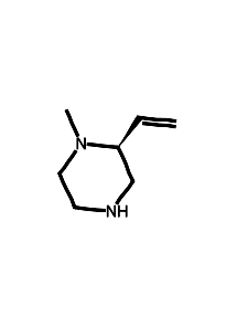 C=C[C@H]1CNCCN1C